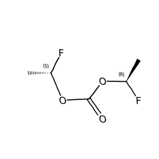 C[C@H](F)OC(=O)O[C@@H](C)F